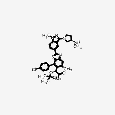 CN[C@@H]1CCN(c2nn(C)c3ccc(-c4nc5cc(C)c([C@H](OC(C)(C)C)C(=O)O)c(-c6ccc(Cl)cc6)c5s4)cc23)C1